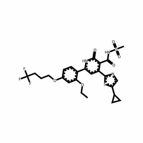 CCOc1cc(OCCCC(F)(F)F)ccc1-c1cc(-c2ncc(C3CC3)s2)c(C(=O)NS(C)(=O)=O)c(=O)[nH]1